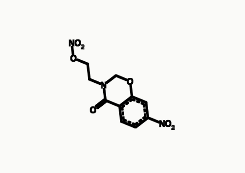 O=C1c2ccc([N+](=O)[O-])cc2OCN1CCO[N+](=O)[O-]